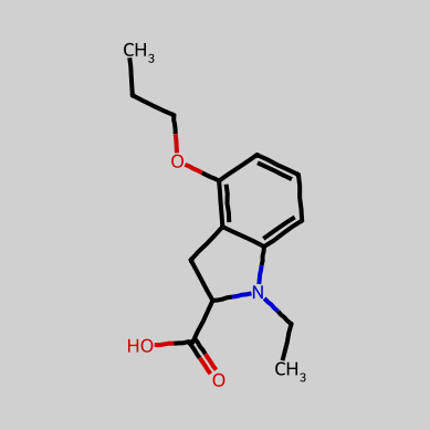 CCCOc1cccc2c1CC(C(=O)O)N2CC